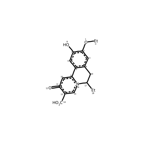 CCOc1cc2c(cc1O)-c1cc(=O)c(C(=O)O)cn1C(CC)C2